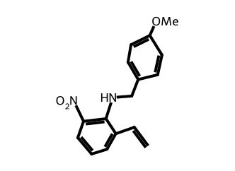 C=Cc1cccc([N+](=O)[O-])c1NCc1ccc(OC)cc1